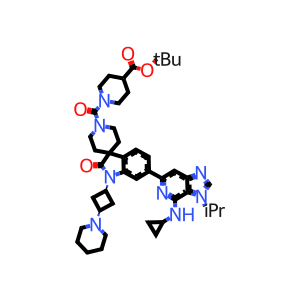 CC(C)n1cnc2cc(-c3ccc4c(c3)N([C@H]3C[C@@H](N5CCCCC5)C3)C(=O)C43CCN(C(=O)N4CCC(C(=O)OC(C)(C)C)CC4)CC3)nc(NC3CC3)c21